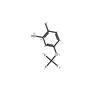 [CH2]c1ccc(OC(F)(F)F)cc1O